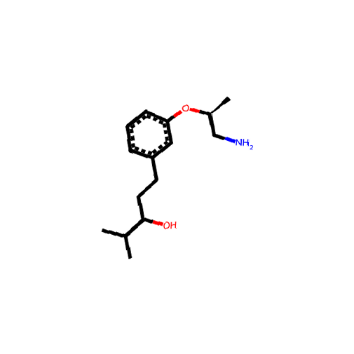 CC(C)C(O)CCc1cccc(O[C@@H](C)CN)c1